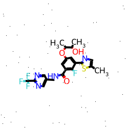 Cc1cnc(-c2cc(OC(C)C(C)O)cc(C(=O)NCc3cnc(C(F)(F)F)nc3)c2F)s1